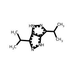 CC(C)c1n[nH]c2c(C(C)C)n[nH]c12